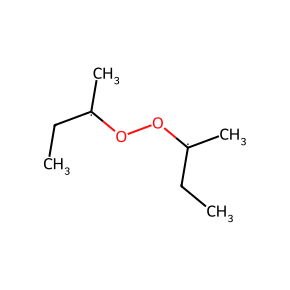 CC[C](C)OO[C](C)CC